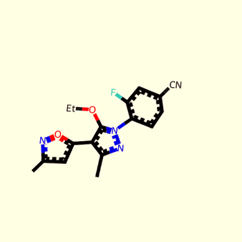 CCOc1c(-c2cc(C)no2)c(C)nn1-c1ccc(C#N)cc1F